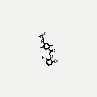 CCN(C)C=Nc1cc(C)c(C(=O)COc2c(Br)cccc2Br)cc1C